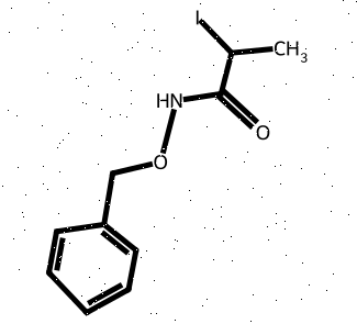 CC(I)C(=O)NOCc1ccccc1